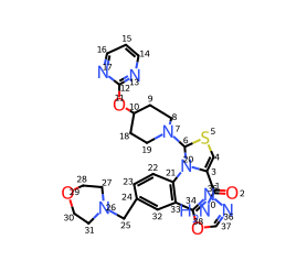 NC(=O)C1=CSC(N2CCC(Oc3ncccn3)CC2)N1c1ccc(CN2CCOCC2)cc1-c1nnco1